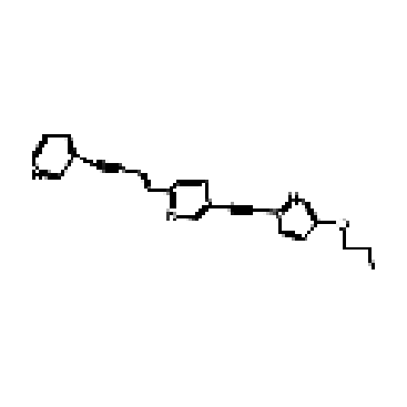 CCCOc1ccc(C#Cc2ccc(/C=C/C#Cc3cccnc3)nc2)nc1